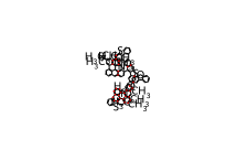 CC(C)(C)c1cc(-c2cccc3cccc(-c4ccccc4N(c4ccccc4-c4cccc5sc6ccccc6c45)c4ccccc4-c4cccc5sc6cc(CC(C)(C)c7cc(-c8cccc9cccc(-c%10ccccc%10N(c%10ccc(-c%11ccc%12oc%13ccccc%13c%12c%11)cc%10)c%10ccccc%10-c%10cccc%11sc%12ccccc%12c%10%11)c89)cc(C(C)(C)C)c7)ccc6c45)c23)cc(C(C)(C)C)c1